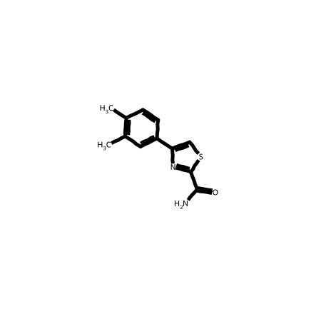 Cc1ccc(-c2csc(C(N)=O)n2)cc1C